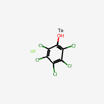 F.Oc1c(Cl)c(Cl)c(Cl)c(Cl)c1Cl.[Ta]